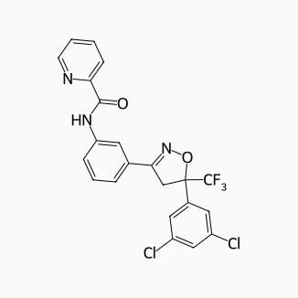 O=C(Nc1cccc(C2=NOC(c3cc(Cl)cc(Cl)c3)(C(F)(F)F)C2)c1)c1ccccn1